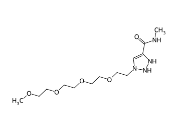 CNC(=O)C1=CN(CCOCCOCCOCCOC)NN1